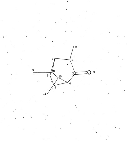 CC1C(=O)C2CCC1C(C)C2C